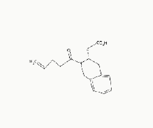 C=CCCC(=O)N1Cc2ccccc2C[C@H]1CC(=O)O